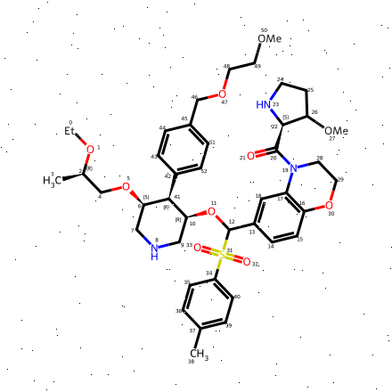 CCO[C@H](C)CO[C@@H]1CNC[C@H](OC(c2ccc3c(c2)N(C(=O)[C@H]2NCCC2OC)CCO3)S(=O)(=O)c2ccc(C)cc2)[C@@H]1c1ccc(COCCOC)cc1